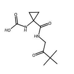 CC(C)(C)C(=O)CNC(=O)C1(NC(=O)O)CC1